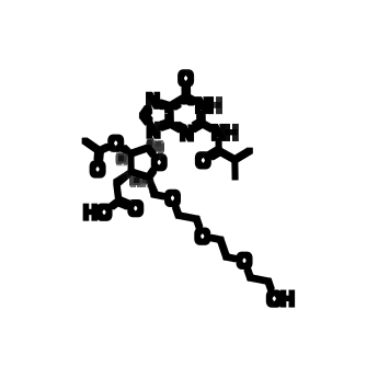 CC(=O)O[C@@H]1[C@H](CC(=O)O)[C@H](COCCOCCOCCO)O[C@H]1n1cnc2c(=O)[nH]c(NC(=O)C(C)C)nc21